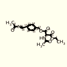 CCOC(=O)C(NC(C)=O)C(=O)OCc1ccc(C#[N+]C(C)=O)cc1